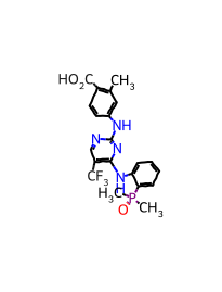 Cc1cc(Nc2ncc(C(F)(F)F)c(Nc3ccccc3P(C)(C)=O)n2)ccc1C(=O)O